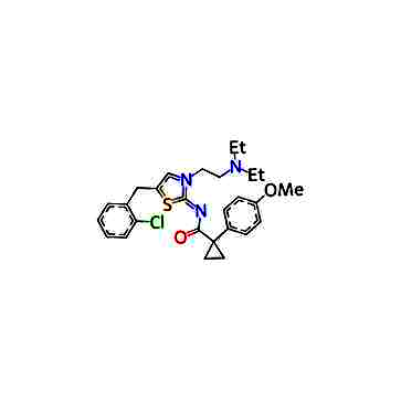 CCN(CC)CCn1cc(Cc2ccccc2Cl)sc1=NC(=O)C1(c2ccc(OC)cc2)CC1